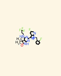 CC1(C)C(=O)Nc2nc(-c3nn(Cc4ccccc4F)c4ncc(F)cc34)nc(NCCC(F)(F)F)c21